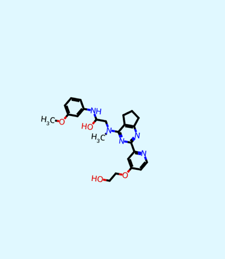 COc1cccc(NC(O)CN(C)c2nc(-c3cc(OCCO)ccn3)nc3c2CCC3)c1